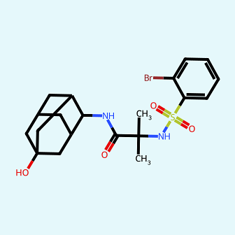 CC(C)(NS(=O)(=O)c1ccccc1Br)C(=O)NC1C2CC3CC1CC(O)(C3)C2